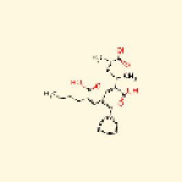 CCCCC(=CC(=Cc1ccccc1)C=C(C(=O)O)C(C)C=C(C)C(=O)O)C(=O)O